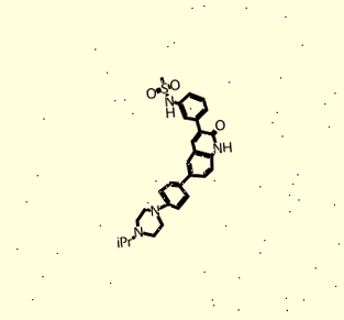 CC(C)N1CCN(c2ccc(-c3ccc4[nH]c(=O)c(-c5cccc(NS(C)(=O)=O)c5)cc4c3)cc2)CC1